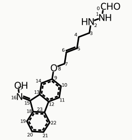 O=CNNCC/C=C/COc1ccc2c(c1)/C(=N\O)c1ccccc1-2